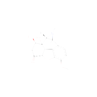 COc1ccc2c3c1O[C@H]1C(=O)C[C@@H](O)C4(O)[C@@H]5N(C)C25C[C@]314